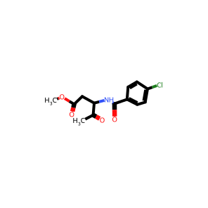 COC(=O)CC(NC(=O)c1ccc(Cl)cc1)C(C)=O